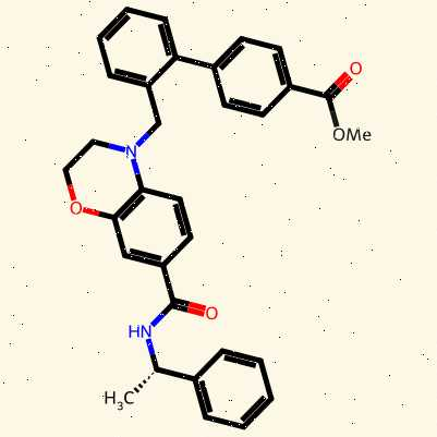 COC(=O)c1ccc(-c2ccccc2CN2CCOc3cc(C(=O)N[C@@H](C)c4ccccc4)ccc32)cc1